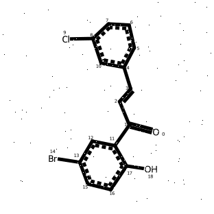 O=C(/C=C/c1cccc(Cl)c1)c1cc(Br)ccc1O